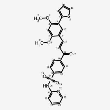 COc1cc(OC)c(-c2cccs2)cc1/C=C/C(=O)c1ccc(S(=O)(=O)Nc2ccccn2)cc1